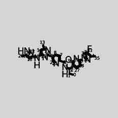 CC[C@@H](NC(=O)c1ccc(-c2nc(C)cc(Nc3cc(C)[nH]n3)n2)cn1)c1ccc(-n2cc(F)c(C)n2)nc1